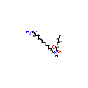 C=CN(CCCCCCCCCCCCN)C(=O)C(=O)OCCCC